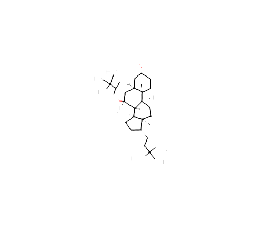 BC(B)(CC[C@H]1CC[C@H]2[C@H]3[C@H](CC[C@]12C)[C@@]1(C)CC[C@@H](O)C[C@H]1[C@@H](C(B)(B)C(B)(B)B)[C@@]3(B)O)C(=O)O